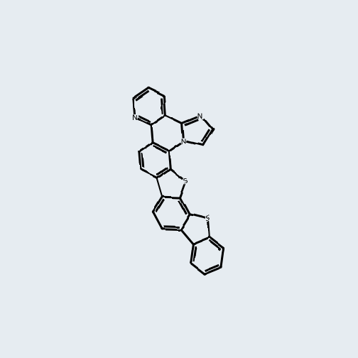 c1ccc2c(c1)sc1c2ccc2c3ccc4c5ncccc5c5nccn5c4c3sc21